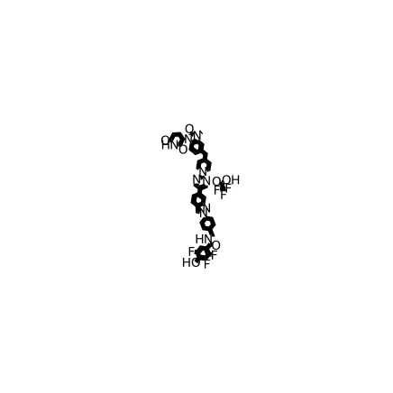 Cn1c(=O)n([C@@H]2CCC(=O)NC2=O)c2ccc(CC3CCN(c4ncc(-c5ccc6cn(C7CCC(CNC(=O)c8cc(F)c(O)c(F)c8F)CC7)nc6c5)cn4)CC3)cc21.O=C(O)C(F)(F)F